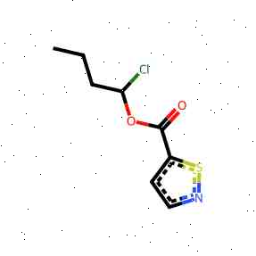 CCCC(Cl)OC(=O)c1ccns1